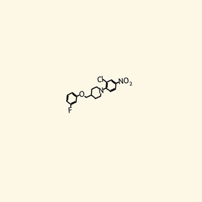 O=[N+]([O-])c1ccc(N2CCC(COc3cccc(F)c3)CC2)c(Cl)c1